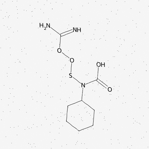 N=C(N)OOSN(C(=O)O)C1CCCCC1